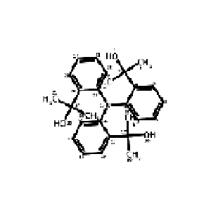 CC(C)(O)c1ccccc1N(c1ccccc1C(C)(C)O)c1ccccc1C(C)(C)O